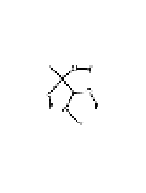 CC(OF)(OF)[C](OF)OF